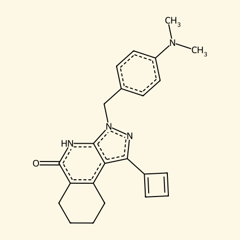 CN(C)c1ccc(Cn2nc(C3=CC=C3)c3c4c(c(=O)[nH]c32)CCCC4)cc1